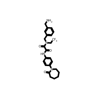 NCc1cccc(CN(CC(F)(F)F)C(=O)C(=O)Nc2ccc(N3CCCCCC3=O)cc2)c1